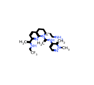 C=C(NCC(F)(F)F)c1ccc2c(n1)N(C(=C)NC1=CC=NN(C)C1=C)[C@@H](CCN)CC2